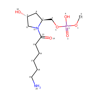 CCOP(=O)(O)OC[C@@H]1C[C@@H](O)CN1C(=O)CCCCCN